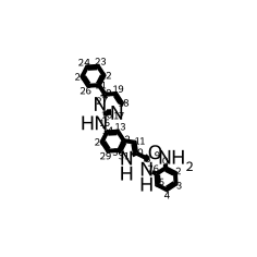 Nc1ccccc1NC(=O)c1cc2cc(Nc3nccc(-c4ccccc4)n3)ccc2[nH]1